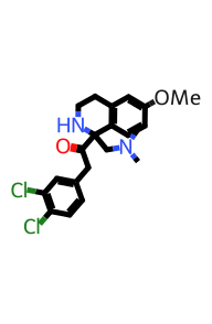 COc1ccc2c(c1)CCNC2(CN(C)C)C(=O)Cc1ccc(Cl)c(Cl)c1